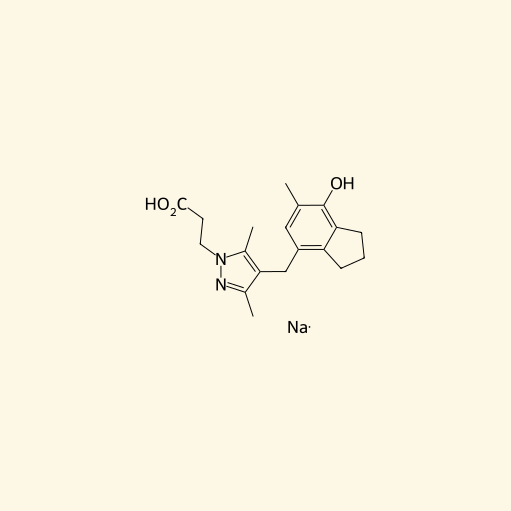 Cc1cc(Cc2c(C)nn(CCC(=O)O)c2C)c2c(c1O)CCC2.[Na]